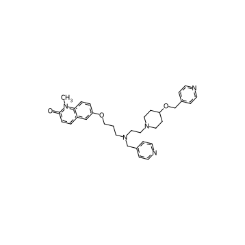 Cn1c(=O)ccc2cc(OCCCN(CCN3CCC(OCc4ccncc4)CC3)Cc3ccncc3)ccc21